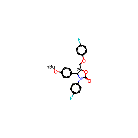 CCCCOc1ccc(C2[C@@H](COc3ccc(F)cc3)OC(=O)N2c2ccc(F)cc2)cc1